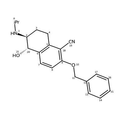 CC(C)N[C@H]1CCc2c(ccc(OCc3ccccc3)c2C#N)[C@@H]1O